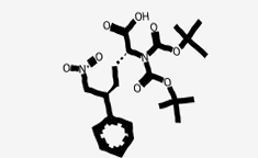 CC(C)(C)OC(=O)N(C(=O)OC(C)(C)C)[C@H](CC[C@H](C[N+](=O)[O-])c1ccccc1)C(=O)O